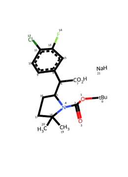 CC(C)(C)OC(=O)N1C(C(C(=O)O)c2ccc(Cl)c(F)c2)CCC1(C)C.[NaH]